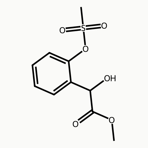 COC(=O)C(O)c1ccccc1OS(C)(=O)=O